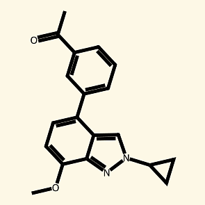 COc1ccc(-c2cccc(C(C)=O)c2)c2cn(C3CC3)nc12